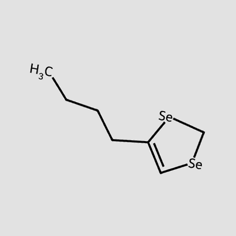 CCCCC1=C[Se]C[Se]1